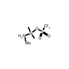 CC(C)(C)[SiH2][Si](C)(C)OS(=O)(=O)C(F)(F)F